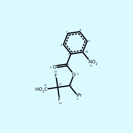 CC(C)C(OC(=O)c1ccccc1[N+](=O)[O-])C(F)(F)C(=O)O